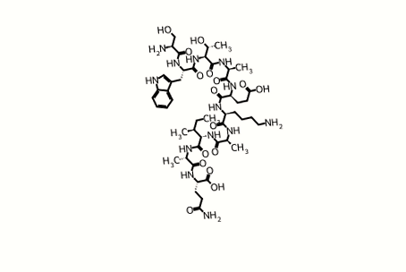 CC[C@H](C)[C@H](NC(=O)[C@H](C)NC(=O)[C@H](CCCCN)NC(=O)[C@H](CCC(=O)O)NC(=O)[C@H](C)NC(=O)[C@@H](NC(=O)[C@H](Cc1c[nH]c2ccccc12)NC(=O)[C@@H](N)CO)[C@@H](C)O)C(=O)N[C@@H](C)C(=O)N[C@@H](CCC(N)=O)C(=O)O